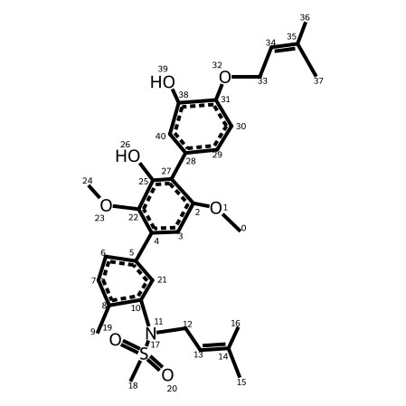 COc1cc(-c2ccc(C)c(N(CC=C(C)C)S(C)(=O)=O)c2)c(OC)c(O)c1-c1ccc(OCC=C(C)C)c(O)c1